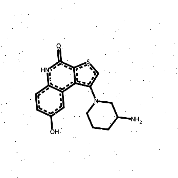 NC1CCCN(c2csc3c(=O)[nH]c4ccc(O)cc4c23)C1